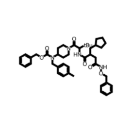 Cc1ccc(CN(C(=O)OCc2ccccc2)C2CCN(C(=O)C(NC(=O)C(CC(=O)NOCc3ccccc3)CC3CCCC3)C(C)(C)C)CC2)cc1